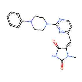 CN1C(=O)NC(=O)/C1=C\c1ccnc(N2CCN(c3ccccc3)CC2)n1